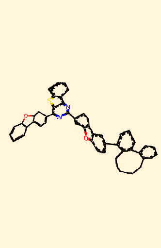 C1=CC2OC3CC(c4nc(-c5ccc6c(c5)oc5ccc(-c7cccc8c7CCCCCc7ccccc7-8)cc56)nc5c4sc4ccccc45)=CC=C3C2C=C1